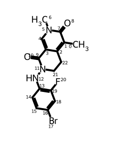 Cc1c2c(cn(C)c1=O)C(=O)N(Nc1ccc(Br)cc1F)CC2